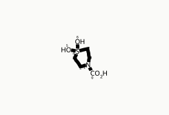 O=C(O)N1CCS(O)(O)CC1